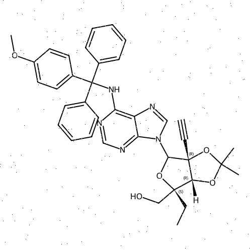 C#C[C@@]12OC(C)(C)O[C@@H]1[C@](CC)(CO)OC2n1cnc2c(NC(c3ccccc3)(c3ccccc3)c3ccc(OC)cc3)ncnc21